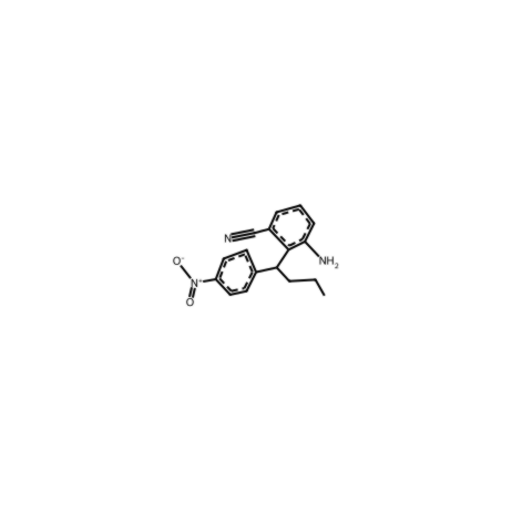 CCCC(c1ccc([N+](=O)[O-])cc1)c1c(N)cccc1C#N